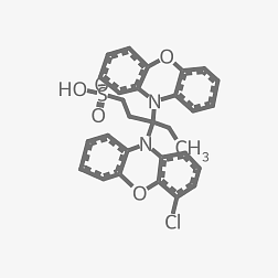 CCC(CCS(=O)(=O)O)(N1c2ccccc2Oc2ccccc21)N1c2ccccc2Oc2c(Cl)cccc21